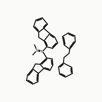 C[Si](C)=[Ti]([c]1cccc2c1Cc1ccccc1-2)[c]1cccc2c1Cc1ccccc1-2.c1ccc(CCc2ccccc2)cc1